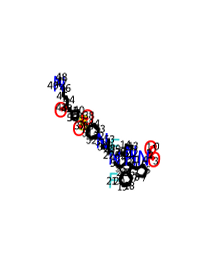 COC(=O)N[C@H]1CCC[C@@H]1[C@](CN1CCC1)(c1cccc(F)c1)C1CCN(CC2(F)CN(c3ccc(S(=O)(=O)C4CC(C(=O)CCCN(C)C)C4)cc3)C2)CC1